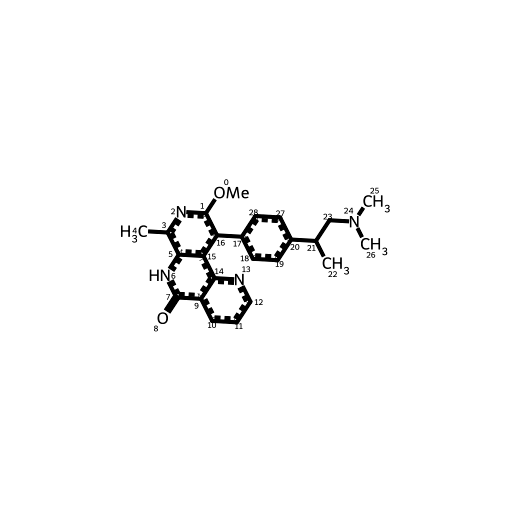 COc1nc(C)c2[nH]c(=O)c3cccnc3c2c1-c1ccc(C(C)CN(C)C)cc1